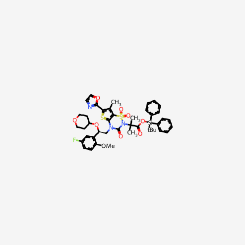 COc1ccc(F)cc1[C@H](CN1C(=O)N(C(C)(C)C(=O)O[Si](c2ccccc2)(c2ccccc2)C(C)(C)C)S(=O)(=O)c2c1sc(-c1ncco1)c2C)OC1CCOCC1